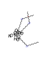 CCCCCCCC/C=C\CCCCCCCC(=O)OCC(COC(=O)CCCCCCC/C=C\CCCCCCCC)(COC(=O)CCCCCCC/C=C\CCCCCCCC)NC(=O)C1CCN(C)CC1